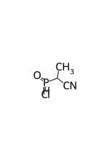 CC(C#N)[PH](=O)Cl